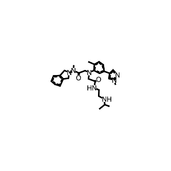 Cc1ccc(-c2cnn(C)c2)cc1N(CC(=O)NCCNC(C)C)CC(=O)N(C)N1Cc2ccccc2C1